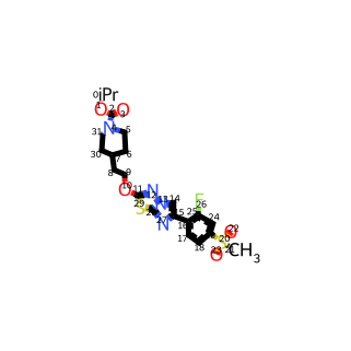 CC(C)OC(=O)N1CCC(CCOc2nn3cc(-c4ccc(S(C)(=O)=O)cc4F)nc3s2)CC1